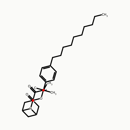 CCCCCCCCCCc1ccc(NC(=O)N2CC3CC(C2)N3C(=O)OC(C)(C)C)cc1